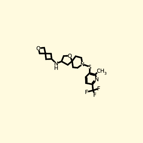 Cc1nc(C(F)(F)F)ccc1SN1CCC2(CC1)CC(NC1CC3(COC3)C1)CO2